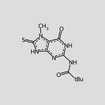 Cn1c(=S)[nH]c2nc(NC(=O)C(C)(C)C)[nH]c(=O)c21